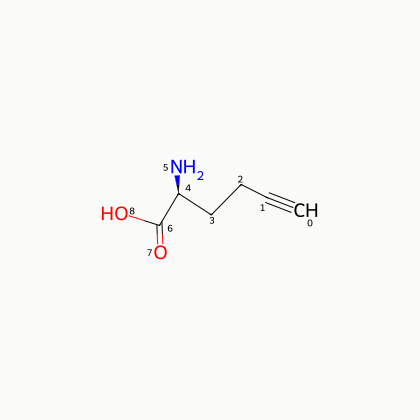 C#CCC[C@H](N)C(=O)O